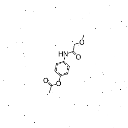 COCC(=O)Nc1ccc(OC(C)=O)cc1